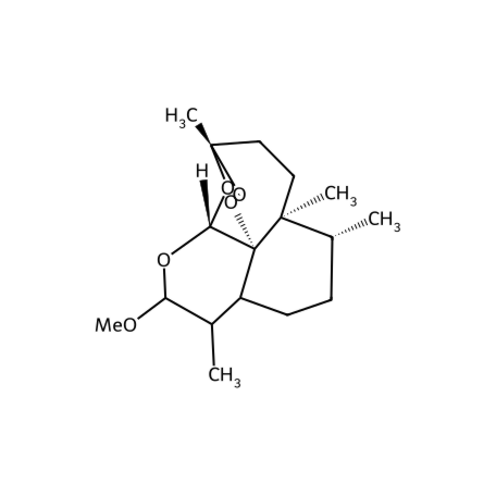 COC1O[C@@H]2O[C@@]3(C)CC[C@@]4(C)[C@H](C)CCC(C1C)[C@@]24OO3